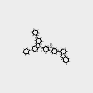 c1ccc(-c2ccc3c(c2)c2cc(-c4ccccc4)ccc2n3-c2ccc3c(c2)[SiH2]c2cc(-c4cccc5c4sc4ccccc45)ccc2-3)cc1